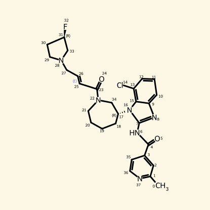 Cc1cc(C(=O)Nc2nc3cccc(Cl)c3n2[C@@H]2CCCCN(C(=O)/C=C/CN3CC[C@@H](F)C3)C2)ccn1